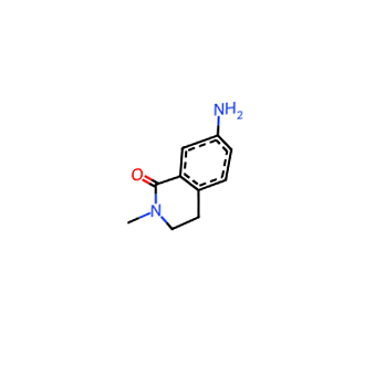 CN1CCc2ccc(N)cc2C1=O